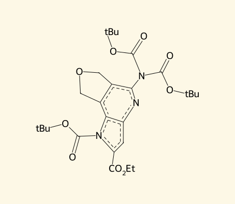 CCOC(=O)c1cc2nc(N(C(=O)OC(C)(C)C)C(=O)OC(C)(C)C)c3c(c2n1C(=O)OC(C)(C)C)COC3